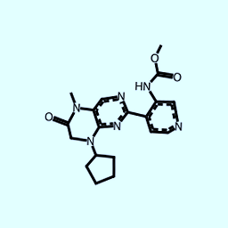 COC(=O)Nc1cnccc1-c1ncc2c(n1)N(C1CCCC1)CC(=O)N2C